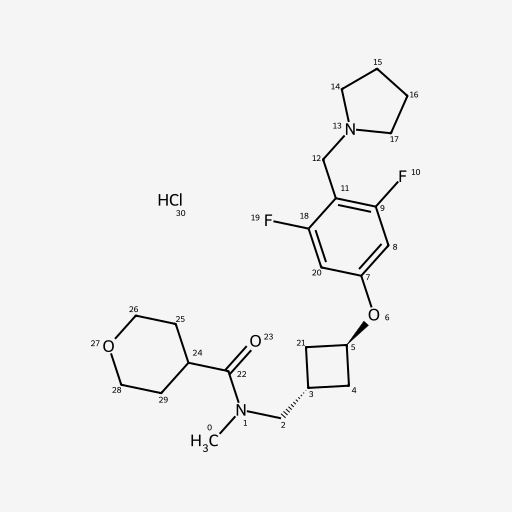 CN(C[C@H]1C[C@H](Oc2cc(F)c(CN3CCCC3)c(F)c2)C1)C(=O)C1CCOCC1.Cl